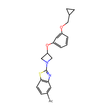 CC(=O)c1ccc2sc(N3CC(Oc4cccc(OCC5CC5)c4)C3)nc2c1